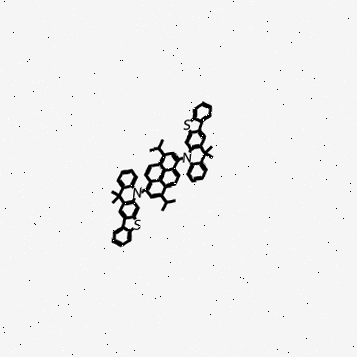 CC(C)c1cc(N2c3ccccc3C(C)(C)c3cc4c(cc32)sc2ccccc24)c2ccc3c(C(C)C)cc(N4c5ccccc5C(C)(C)c5cc6c(cc54)sc4ccccc46)c4ccc1c2c34